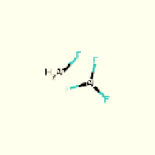 [F][AlH2].[F][Al]([F])[F]